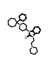 O=c1n(CCN2CCCCC2)c2ccccc2n1C1CCN(C2(c3ccccc3)CCCCCC2)CC1